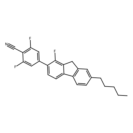 CCCCCc1ccc2c(c1)Cc1c-2ccc(-c2cc(F)c(C#N)c(F)c2)c1F